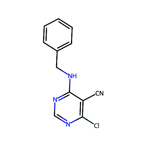 N#Cc1c(Cl)ncnc1NCc1ccccc1